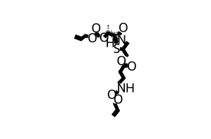 C=CCOC(=O)NCCCC(=O)OCC1CN2C(=O)[C@H]([C@@H](C)OC(=O)OCC=C)[C@H]2S1